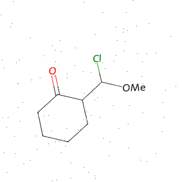 COC(Cl)C1CCCCC1=O